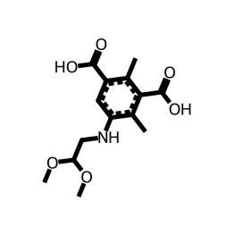 COC(CNc1cc(C(=O)O)c(C)c(C(=O)O)c1C)OC